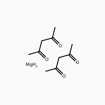 CC(=O)CC(C)=O.CC(=O)CC(C)=O.[MgH2]